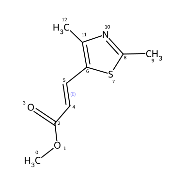 COC(=O)/C=C/c1sc(C)nc1C